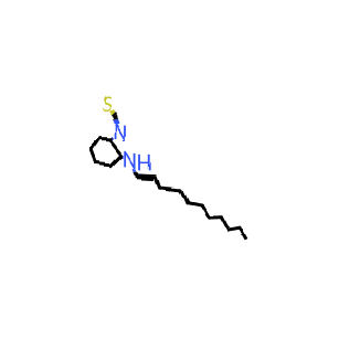 CCCCCCCCCC=CN[C@H]1CCCC[C@@H]1N=C=S